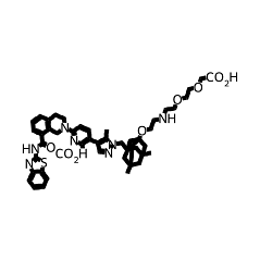 Cc1c(-c2ccc(N3CCc4cccc(C(=O)Nc5nc6ccccc6s5)c4C3)nc2C(=O)O)cnn1CC12CC3(C)CC(C)(C1)CC(OCCNCCOCCOCC(=O)O)(C3)C2